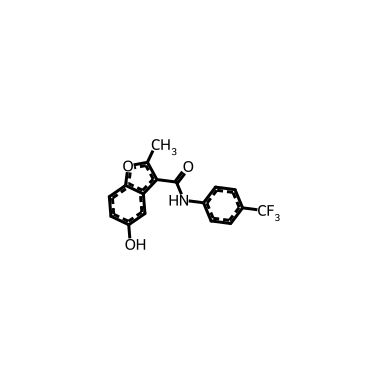 Cc1oc2ccc(O)cc2c1C(=O)Nc1ccc(C(F)(F)F)cc1